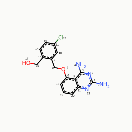 Nc1nc(N)c2c(OCc3cc(Cl)ccc3CO)cccc2n1